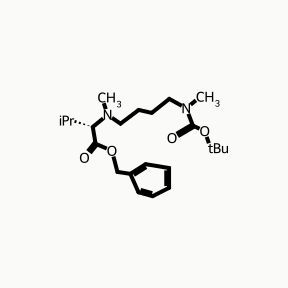 CC(C)[C@@H](C(=O)OCc1ccccc1)N(C)CCCCN(C)C(=O)OC(C)(C)C